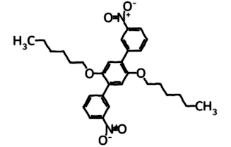 CCCCCCOc1cc(-c2cccc([N+](=O)[O-])c2)c(OCCCCCC)cc1-c1cccc([N+](=O)[O-])c1